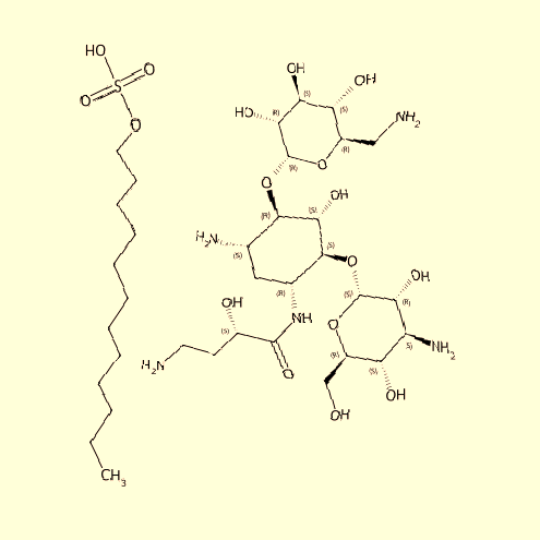 CCCCCCCCCCCCOS(=O)(=O)O.NCC[C@H](O)C(=O)N[C@@H]1C[C@H](N)[C@@H](O[C@H]2O[C@H](CN)[C@@H](O)[C@H](O)[C@H]2O)[C@H](O)[C@H]1O[C@H]1O[C@H](CO)[C@@H](O)[C@H](N)[C@H]1O